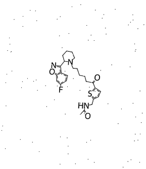 CC(=O)NCc1ccc(C(=O)CCCCCN2CCCCC2c2noc3cc(F)ccc23)s1